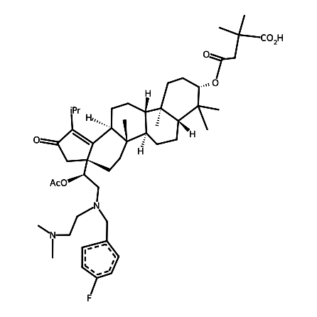 CC(=O)O[C@H](CN(CCN(C)C)Cc1ccc(F)cc1)[C@@]12CC[C@]3(C)[C@H](CC[C@H]4[C@H]3CC[C@H]3C(C)(C)[C@@H](OC(=O)CC(C)(C)C(=O)O)CC[C@]43C)C1=C(C(C)C)C(=O)C2